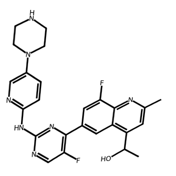 Cc1cc(C(C)O)c2cc(-c3nc(Nc4ccc(N5CCNCC5)cn4)ncc3F)cc(F)c2n1